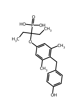 CCC(CC)(Oc1cc(C)c(Cc2ccc(O)cc2)c(C)c1)P(=O)(O)O